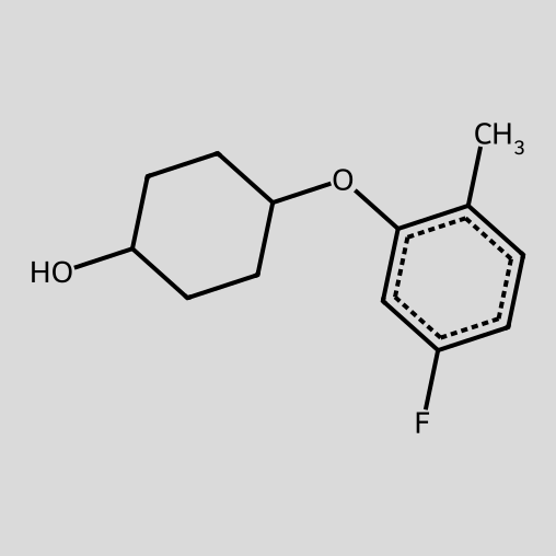 Cc1ccc(F)cc1OC1CCC(O)CC1